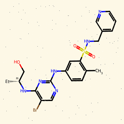 CC[C@H](CO)Nc1nc(Nc2ccc(C)c(S(=O)(=O)NCc3cccnc3)c2)ncc1Br